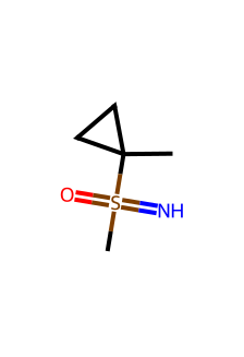 CC1(S(C)(=N)=O)CC1